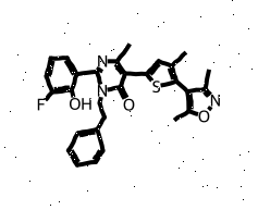 Cc1cc(-c2c(C)nc(-c3cccc(F)c3O)n(CCc3ccccc3)c2=O)sc1-c1c(C)noc1C